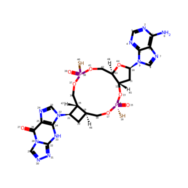 Nc1ncnc2c1ncn2[C@H]1C[C@@H]2O[P@](=O)(S)OC[C@H]3C[C@@H](n4cnc5c(=O)n6cnnc6[nH]c54)[C@@H]3COP(=O)(S)OC[C@H]2O1